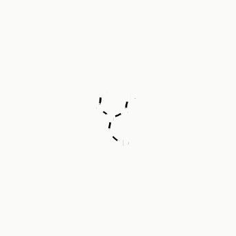 CC(C)(C)[O][In]([O]C(C)(C)C)[O]C(C)(C)C